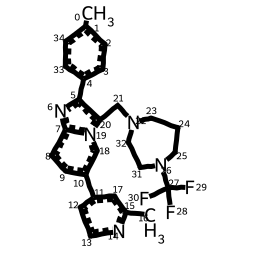 Cc1ccc(-c2nc3ccc(-c4ccnc(C)c4)cn3c2CN2CCCN(C(F)(F)F)CC2)cc1